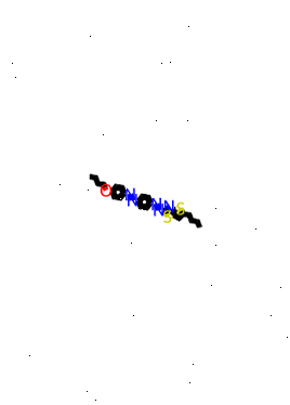 CCCCOc1ccc(N=Nc2ccc(N=Nc3nc4sc(CCCC)cc4s3)cc2)cc1